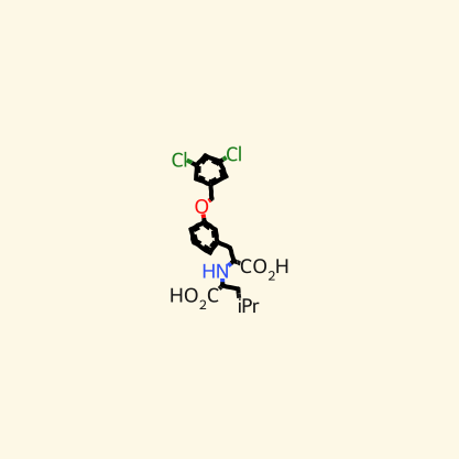 CC(C)CC(NC(Cc1cccc(OCc2cc(Cl)cc(Cl)c2)c1)C(=O)O)C(=O)O